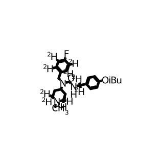 [2H]c1c([2H])c(CN(C(=O)NC([2H])([2H])c2ccc(OCC(C)C)cc2)C2CC([2H])([2H])N(C)C([2H])([2H])C2)c([2H])c([2H])c1F